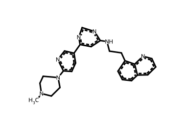 CN1CCN(c2ccc(-c3cc(NCCc4cccc5cccnc45)ncn3)cn2)CC1